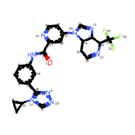 O=C(Nc1cccc(-c2nncn2C2CC2)c1)c1cc(N2C=NC3C2CC=NC3C(F)(F)F)ccn1